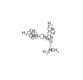 CCc1cc2c(N3CCC4(CC3)CN(C(=O)OC(C)(C)C)C4)nc(OCCCN(C)C)nc2c(F)c1Br